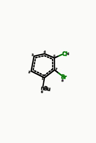 CCCCc1cccc(Cl)c1Br